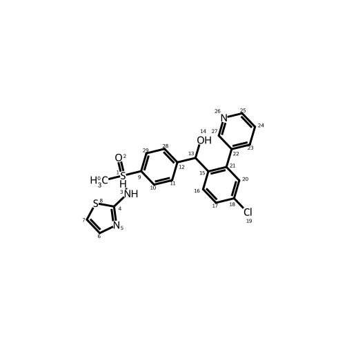 C[SH](=O)(Nc1nccs1)c1ccc(C(O)c2ccc(Cl)cc2-c2cccnc2)cc1